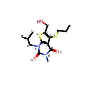 CCCSc1c(CO)sc2c1c(=O)n(C)c(=O)n2CC(C)C